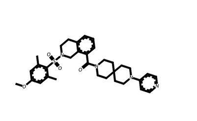 COc1cc(C)c(S(=O)(=O)N2CCc3cccc(C(=O)N4CCC5(CC4)CCN(c4ccncc4)CC5)c3C2)c(C)c1